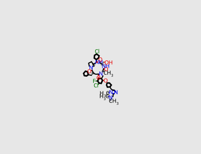 C[C@H]1C(=O)N[C@@H](CO)C(=O)N[C@@]2(Cc3ccc(Cl)cc3)CCCN(C2)C(=O)[C@H](Cc2ccccc2)CC(=O)N1Cc1cc(F)c(Cl)cc1Oc1ccc(-c2cnc(CN(C)C)n2C)cc1